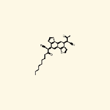 CCCCCCCCC(=O)/C(C#N)=c1\cc2c(c/c(=C(/C#N)C(C)=O)c3ccsc32)c2sccc12